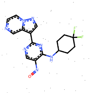 O=Nc1cnc(-c2cnn3ccncc23)nc1NC1CCC(F)(F)CC1